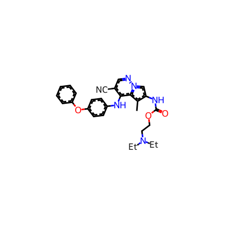 CCN(CC)CCOC(=O)Nc1cn2ncc(C#N)c(Nc3ccc(Oc4ccccc4)cc3)c2c1C